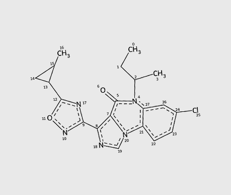 CCC(C)n1c(=O)c2c(-c3noc(C4CC4C)n3)ncn2c2ccc(Cl)cc21